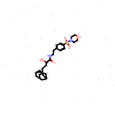 O=C(NCCc1ccc(S(=O)(=O)N2CCOCC2)cc1)C(O)CCC12CC3CC(CC(C3)C1)C2